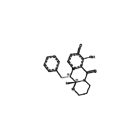 O=C1c2c(O)c(=O)ccn2[C@@H](Cc2ccccc2)[C@H]2OCCCN12